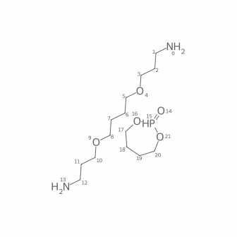 NCCCOCCCCOCCCN.O=[PH]1OCCCCO1